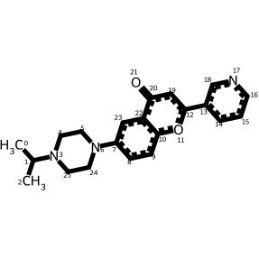 CC(C)N1CCN(c2ccc3oc(-c4cccnc4)cc(=O)c3c2)CC1